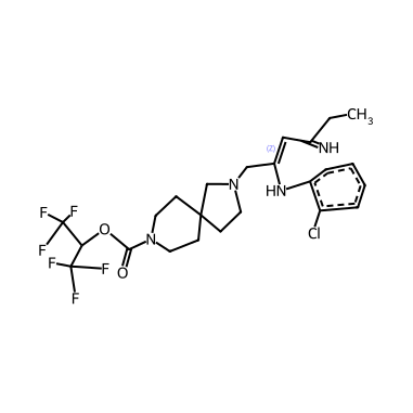 CCC(=N)/C=C(/CN1CCC2(CCN(C(=O)OC(C(F)(F)F)C(F)(F)F)CC2)C1)Nc1ccccc1Cl